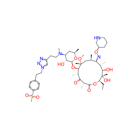 CC[C@H]1OC(=O)[C@H](C)C(=O)[C@H](C)[C@@H](O[C@@H]2O[C@H](C)C[C@H](N(C)CCc3cn(CCc4ccc(S(C)(=O)=O)cc4)nn3)[C@H]2O)[C@](C)(OC)C[C@@H](C)/C(=N\O[C@@H]2CCCNC2)[C@H](C)[C@@H](O)[C@]1(C)O